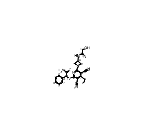 CCc1c(C#N)c(SC(C(N)=O)c2ccccc2)nc(N2CC(NC(=O)CO)C2)c1C#N